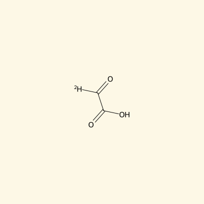 [2H]C(=O)C(=O)O